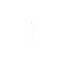 NC1=C(Cc2ccccc2)C=NC(N)C1(Cc1ccccc1)[N+](=O)[O-]